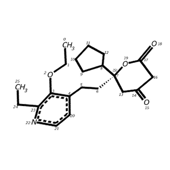 CCOc1c(CC[C@@]2(C3CCCC3)CC(=O)CC(=O)O2)ccnc1CC